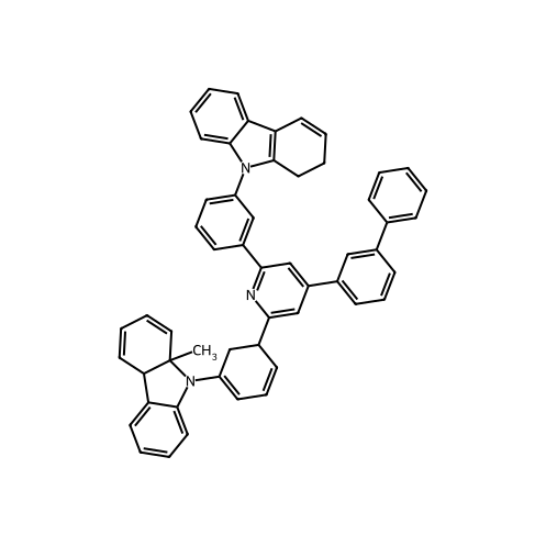 CC12C=CC=CC1c1ccccc1N2C1=CC=CC(c2cc(-c3cccc(-c4ccccc4)c3)cc(-c3cccc(-n4c5c(c6ccccc64)C=CCC5)c3)n2)C1